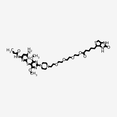 C=CC(=O)Nc1cc(N)nc(Sc2c(OC)nc(N3CCN(CCOCCOCCOCCOC(=O)CCCCC4SCC5NC(=O)NC54)CC3)nc2OC)n1